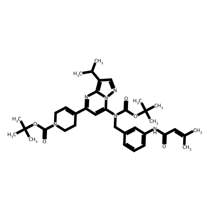 CC(C)=CC(=O)Nc1cccc(CN(C(=O)OC(C)(C)C)c2cc(C3=CCN(C(=O)OC(C)(C)C)CC3)nc3c(C(C)C)cnn23)c1